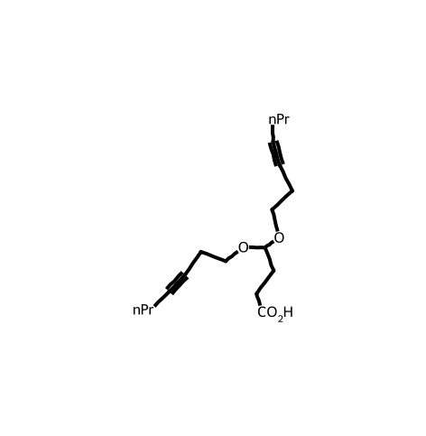 CCCC#CCCOC(CCC(=O)O)OCCC#CCCC